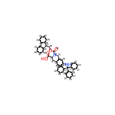 O=C(O)C1Cc2ccc(NC(c3ccccc3)(c3ccccc3)c3ccccc3)cc2CN1C(=O)OCC1c2ccccc2-c2ccccc21